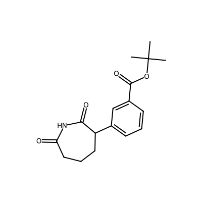 CC(C)(C)OC(=O)c1cccc(C2CCCC(=O)NC2=O)c1